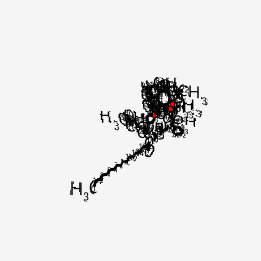 CCCCCCCCCCCCCCCCC(=O)OCC(COP(=O)(O)OCC[N+](C)(C)C)OC(=O)CNC(c1ccccc1)[C@@H](O)C(=O)O[C@H]1C[C@@]2(O)[C@@H](OC(=O)c3ccccc3)C3[C@](C)(C(=O)[C@H](OC(C)=O)C(=C1C)C2(C)C)[C@@H](O)C[C@H]1OC[C@@]31OC(C)=O